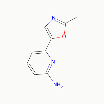 Cc1ncc(-c2cccc(N)n2)o1